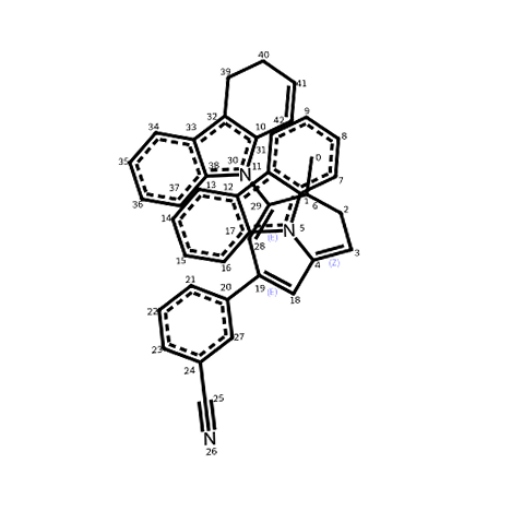 CC1C/C=C(n2c3ccccc3c3ccccc32)/C=C(c2cccc(C#N)c2)\C=C/1n1c2c(c3ccccc31)CCC=C2